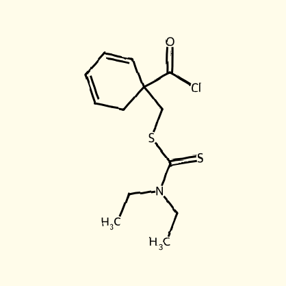 CCN(CC)C(=S)SCC1(C(=O)Cl)C=CC=CC1